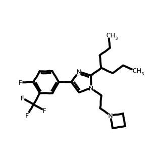 CCCC(CCC)c1nc(-c2ccc(F)c(C(F)(F)F)c2)cn1CCN1CCC1